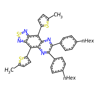 CCCCCCc1ccc(-c2nc3c(-c4ccc(C)s4)c4nsnc4c(-c4ccc(C)s4)c3nc2-c2ccc(CCCCCC)cc2)cc1